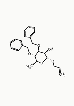 C=CCO[C@@H]1O[C@@H](C)[C@H](OCc2ccccc2)[C@@H](OCc2ccccc2)[C@H]1O